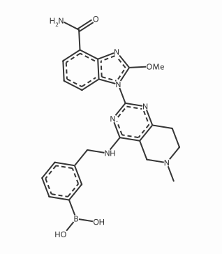 COc1nc2c(C(N)=O)cccc2n1-c1nc2c(c(NCc3cccc(B(O)O)c3)n1)CN(C)CC2